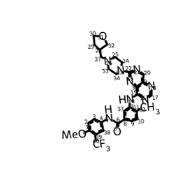 COc1ccc(NC(=O)c2ccc(C)c(Nc3ncnc4cnc(N5CCN(CC6CCOC6)CC5)nc34)c2)cc1C(F)(F)F